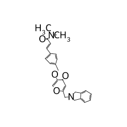 CN(C)C(=O)/C=C/c1ccc(COc2coc(CN3Cc4ccccc4C3)cc2=O)cc1